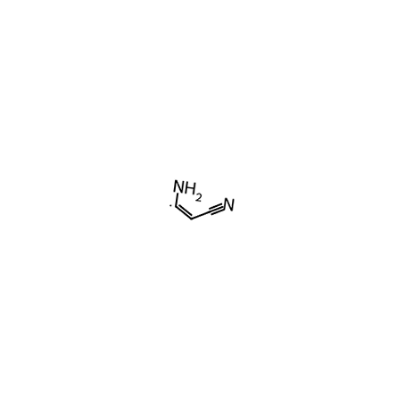 N#C/C=[C]\N